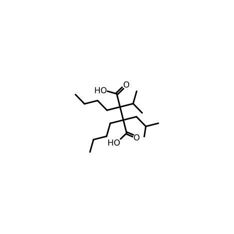 CCCCC(CC(C)C)(C(=O)O)C(CCCC)(C(=O)O)C(C)C